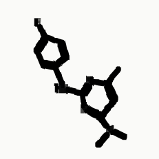 Cc1cc(N(C)C)nc(Nc2ccc(F)cc2)n1